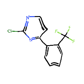 FC(F)(F)c1ccccc1-c1ccnc(Cl)n1